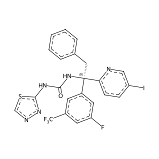 O=C(Nc1nncs1)N[C@](Cc1ccccc1)(c1cc(F)cc(C(F)(F)F)c1)c1ccc(I)cn1